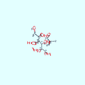 C=C(C)C=O.O=CC(O)C(O)C(O)C(O)CO